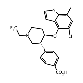 Cc1cc(Cl)c(O[C@@H]2CCN(CC(F)(F)F)C[C@H]2c2ccc(C(=O)O)cc2)c2cc[nH]c12